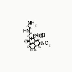 Cl.Cl.NCCNCCN1C(=O)c2cccc3cc([N+](=O)[O-])cc(c23)C1=O